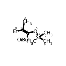 CC/C(C)=C(\OCC(C)C)O[Si](C)(C)C